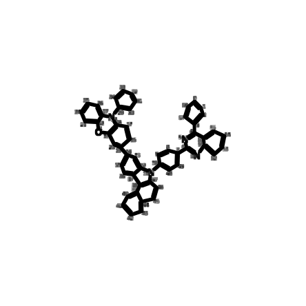 c1ccc(-c2nc(-c3ccc(-n4c5cc(-c6ccc7c(c6)Oc6ccccc6N7c6ccccc6)ccc5c5c6ccccc6ccc54)cc3)nc3ccccc23)cc1